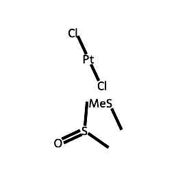 CS(C)=O.CSC.[Cl][Pt][Cl]